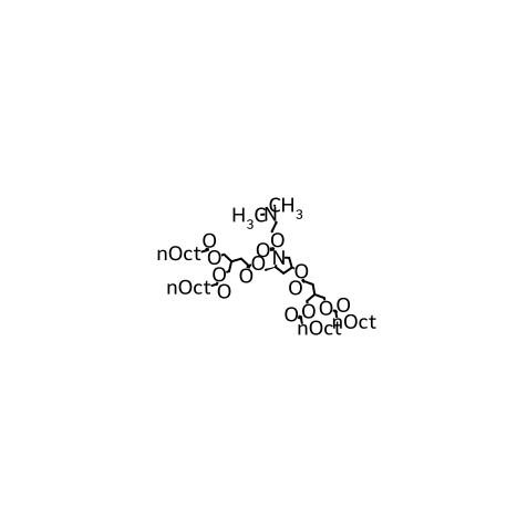 CCCCCCCCC(=O)OCC(COC(=O)CCCCCCCC)CC(=O)OC[C@@H]1C[C@H](OC(=O)CC(COC(=O)CCCCCCCC)COC(=O)CCCCCCCC)CN1C(=O)OCCN(C)C